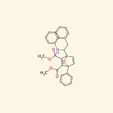 COC(=O)C1=C(C(=O)OC)C2(C(Cc3ccccc3)Nc3ccccc3)C=CC1(c1ccccc1)O2